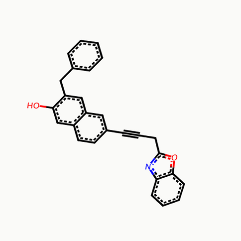 Oc1cc2ccc(C#CCc3nc4ccccc4o3)cc2cc1Cc1ccccc1